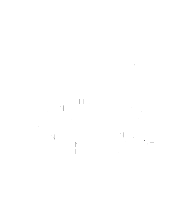 Cc1cc(F)ccc1C1CC(Nc2cnccn2)CCN1C(N)=O